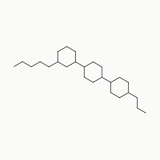 CCCCCC1CCCC(C2CCC(C3CCC(CCC)CC3)CC2)C1